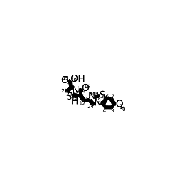 COc1ccc2c(c1)sc1nc(C=C3C(=O)N4C(C(=O)O)=CS[C@H]34)cn12